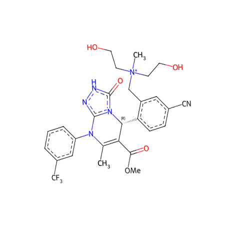 COC(=O)C1=C(C)N(c2cccc(C(F)(F)F)c2)c2n[nH]c(=O)n2[C@@H]1c1ccc(C#N)cc1C[N+](C)(CCO)CCO